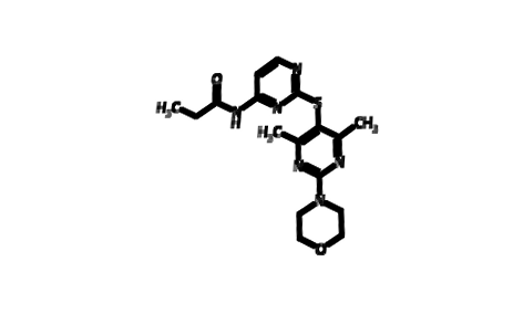 CCC(=O)Nc1ccnc(Sc2c(C)nc(N3CCOCC3)nc2C)n1